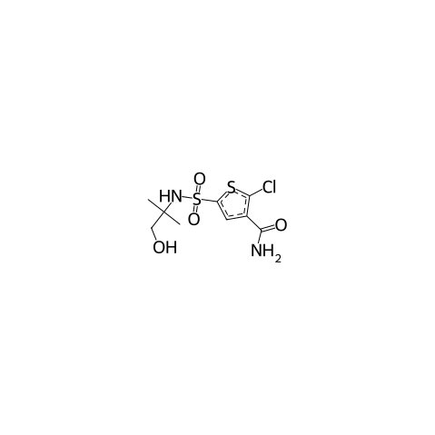 CC(C)(CO)NS(=O)(=O)c1cc(C(N)=O)c(Cl)s1